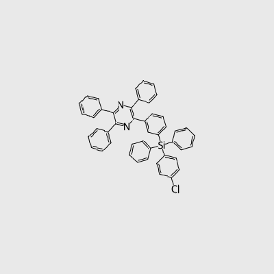 Clc1ccc([Si](c2ccccc2)(c2ccccc2)c2cccc(-c3nc(-c4ccccc4)c(-c4ccccc4)nc3-c3ccccc3)c2)cc1